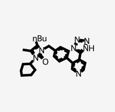 CCCCc1c(C)n(C2CCCCC2)c(=O)n1Cc1ccc(-c2cnccc2-c2nnn[nH]2)cc1